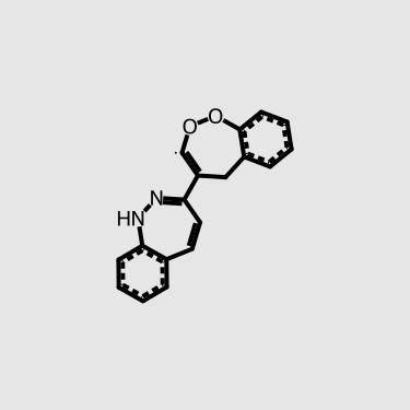 [C]1=C(C2=NNc3ccccc3C=C2)Cc2ccccc2OO1